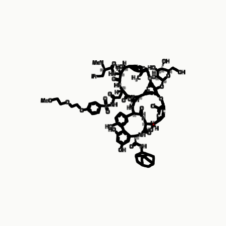 CN[C@H](CC(C)C)C(=O)N[C@H]1C(=O)N[C@@H](CC(=O)NS(=O)(=O)c2ccc(OCCOCCOC)cc2)C(=O)N[C@H]2C(=O)N[C@H]3C(=O)N[C@H](C(=O)N[C@H](C(=O)NC4C5CC6CC(C5)CC4C6)c4cc(O)cc(O)c4-c4cc3ccc4O)[C@H](O)c3ccc(c(Cl)c3)Oc3cc2cc(c3O[C@@H]2O[C@H](CO)[C@@H](O)[C@H](O)[C@H]2O)Oc2ccc(cc2C)[C@H]1O